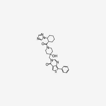 O=C([C@@H]1CCCC[C@@H]1n1cncn1)N1CCC(O)(Cn2cnc3c(-c4ccccc4)scc3c2=O)CC1